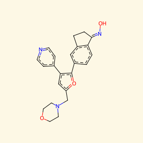 ON=C1CCc2cc(-c3oc(CN4CCOCC4)cc3-c3ccncc3)ccc21